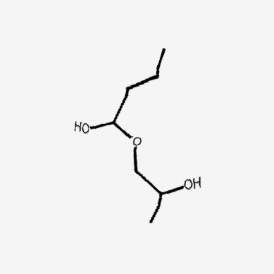 CCCC(O)OCC(C)O